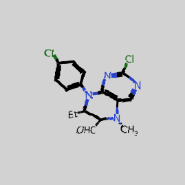 CCC1C(C=O)N(C)c2cnc(Cl)nc2N1c1ccc(Cl)cc1